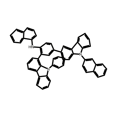 c1ccc(-n2c3ccccc3c3cccc(-c4cc(-c5ccc6c(c5)c5ccccc5n6-c5ccc6ccccc6c5)ccc4Nc4cccc5ccccc45)c32)cc1